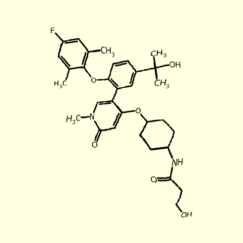 Cc1cc(F)cc(C)c1Oc1ccc(C(C)(C)O)cc1-c1cn(C)c(=O)cc1OC1CCC(NC(=O)CCO)CC1